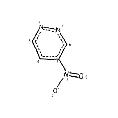 O=[N+]([O-])c1c[c]nnc1